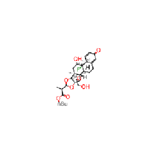 CCCCOC(=O)C(C)C1OC2C[C@H]3[C@@H]4CCC5=CC(=O)C=C[C@]5(C)[C@@]4(F)[C@@H](O)C[C@]3(C)[C@]2(C(=O)CO)O1